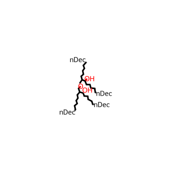 CCCCCCCCCCCCCCCCC(COCC(CCCCCCCCCCCCCCCC)C(O)CCCCCCCCCCCCCCC)C(O)CCCCCCCCCCCCCCC